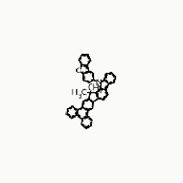 CC1(C)c2cc3c4ccccc4c4ccccc4c3cc2-c2ccc3c4ccccc4n(-c4ccc5oc6ccccc6c5c4)c3c21